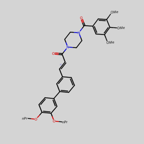 CCCOc1ccc(-c2cccc(/C=C/C(=O)N3CCN(C(=O)c4cc(OC)c(OC)c(OC)c4)CC3)c2)cc1OCCC